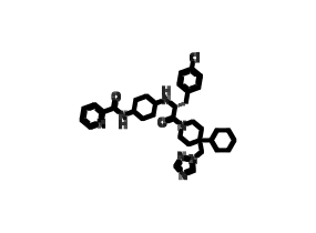 O=C(NC1CCC(N[C@H](Cc2ccc(Cl)cc2)C(=O)N2CCC(Cn3cncn3)(C3CCCCC3)CC2)CC1)c1ccccn1